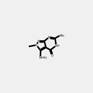 CC(=O)Nc1c2c(=O)[nH]c(C(C)(C)C)nc2nn1C